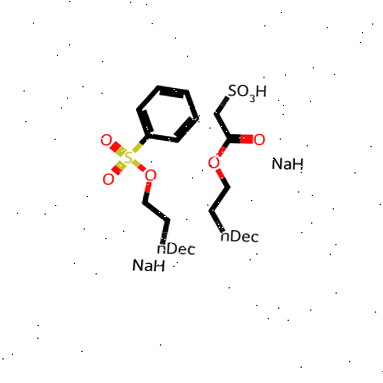 CCCCCCCCCCCCOC(=O)CS(=O)(=O)O.CCCCCCCCCCCCOS(=O)(=O)c1ccccc1.[NaH].[NaH]